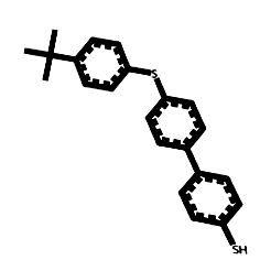 CC(C)(C)c1ccc(Sc2ccc(-c3ccc(S)cc3)cc2)cc1